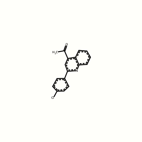 CC(=O)c1cc(-c2ccc(Cl)cc2)nc2ccccc12